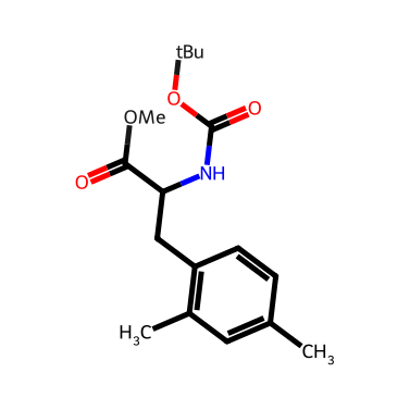 COC(=O)C(Cc1ccc(C)cc1C)NC(=O)OC(C)(C)C